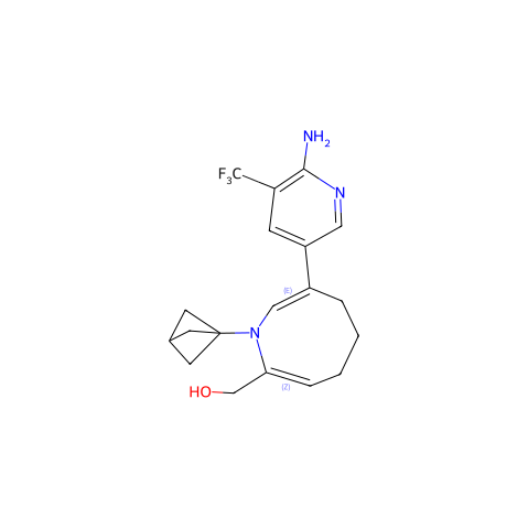 Nc1ncc(/C2=C/N(C34CC(C3)C4)/C(CO)=C\CCC2)cc1C(F)(F)F